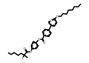 CCCCCCCCOc1ccc(-c2ccc(C(=O)Oc3ccc(OC(=O)C(C)(F)CCCCC)cc3)cc2)cc1